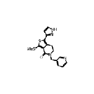 CSc1sc(-c2cc[nH]n2)c2c1C(=O)N(Cc1cccnc1)CC2